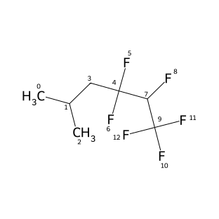 CC(C)CC(F)(F)C(F)C(F)(F)F